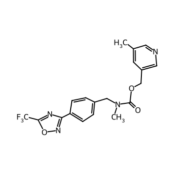 Cc1cncc(COC(=O)N(C)Cc2ccc(-c3noc(C(F)(F)F)n3)cc2)c1